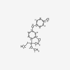 CCC(C)(OC)c1ccc(Oc2ccc(Cl)cc2)cc1Cl